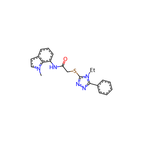 CCn1c(SCC(=O)Nc2cccc3ccn(C)c23)nnc1-c1ccccc1